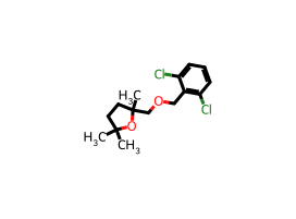 CC1(C)CCC(C)(COCc2c(Cl)cccc2Cl)O1